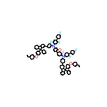 C=CC1=CC=C(Oc2ccc(C3(C4=CC=CCC4)C4=C(CCC(C5=CC=C(N(c6ccc7c(c6)OC6C=C(N(C8=CCC(C9=CC%10C(CC9)c9ccccc9C%10(C9=CCCC=C9)C9C=CC(OC%10CC=C(C=C)CC%10)CC9)CC8)C8=CC(F)=C(C9=CCC(F)CC9)CC8F)C=CC76)c6cc(F)c(C7CC=C(F)CC7)cc6F)CC5)=C4)C4CCC=CC43)cc2)CC1